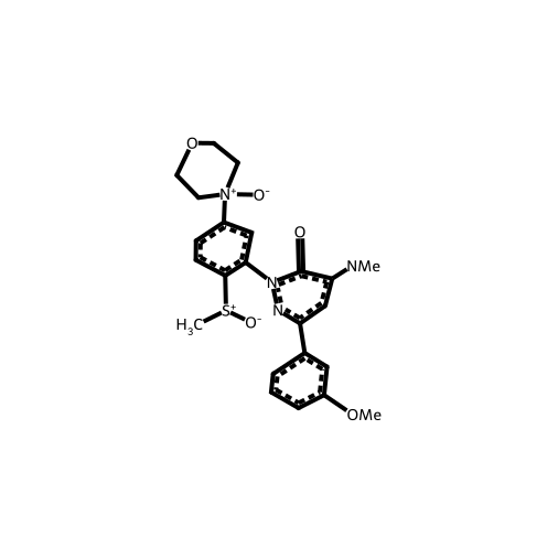 CNc1cc(-c2cccc(OC)c2)nn(-c2cc([N+]3([O-])CCOCC3)ccc2[S+](C)[O-])c1=O